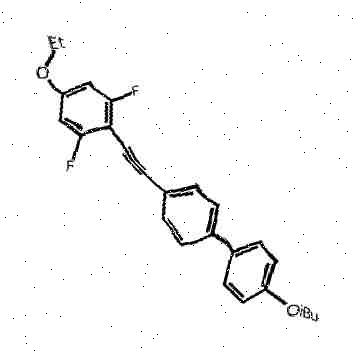 CCOc1cc(F)c(C#Cc2ccc(-c3ccc(OCC(C)C)cc3)cc2)c(F)c1